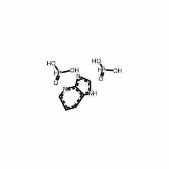 O=[PH](O)O.O=[PH](O)O.c1cnc2nc[nH]c2c1